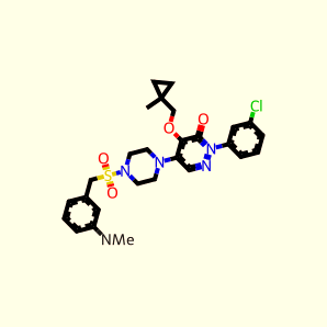 CNc1cccc(CS(=O)(=O)N2CCN(c3cnn(-c4cccc(Cl)c4)c(=O)c3OCC3(C)CC3)CC2)c1